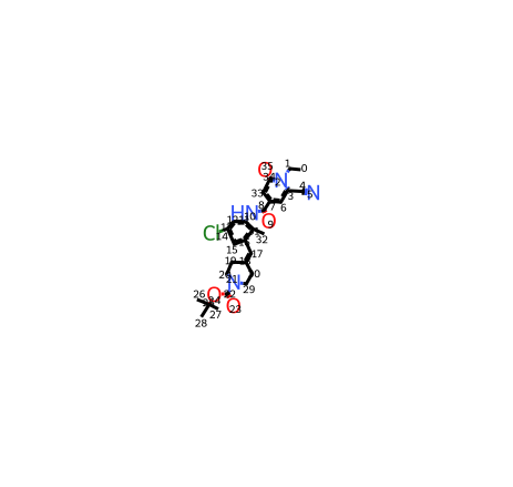 CCn1c(C#N)cc(C(=O)Nc2cc(Cl)cc(C=C3CCN(C(=O)OC(C)(C)C)CC3)c2C)cc1=O